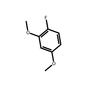 COc1[c]c(OC)c(F)cc1